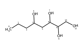 CCCC(O)CC(O)C(O)CO